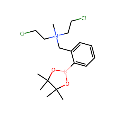 CC1(C)OB(c2ccccc2C[N+](C)(CCCl)CCCl)OC1(C)C